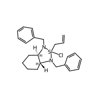 C=CC[Si]1(Cl)N(Cc2ccccc2)[C@@H]2CCCC[C@H]2N1Cc1ccccc1